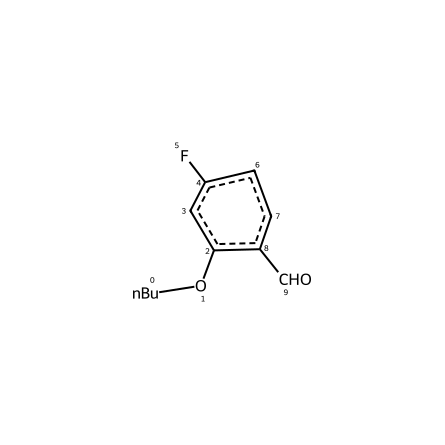 CCCCOc1cc(F)ccc1C=O